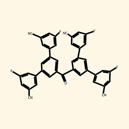 N#Cc1cc(F)cc(-c2cc(C(=O)c3cc(-c4cc(F)cc(C#N)c4)cc(-c4cc(F)cc(C#N)c4)c3)cc(-c3cc(F)cc(C#N)c3)c2)c1